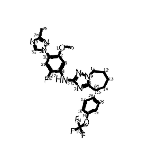 COc1cc(Nc2nc3n(n2)CCCC[C@@H]3c2ccc(OC(F)(F)F)cc2)c(F)cc1-n1cnc(C)n1